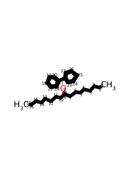 CCCCCCCCC(=O)CCCCCCCC.c1ccc(-c2ccccc2)cc1